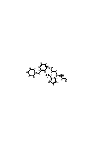 Nc1ncnn1C(CCOc1cccc(CN2CCCCC2)c1)NC=S